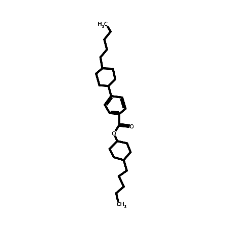 CCCCCC1CCC(OC(=O)c2ccc(C3CCC(CCCCC)CC3)cc2)CC1